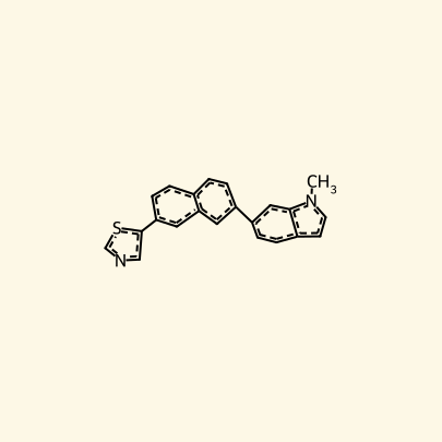 Cn1ccc2ccc(-c3ccc4ccc(-c5cncs5)cc4c3)cc21